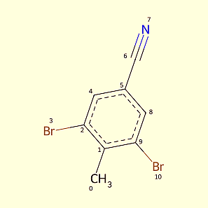 Cc1c(Br)cc(C#N)cc1Br